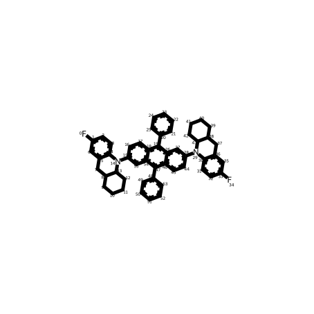 Fc1ccc2c(c1)CC1CCCCC1N2c1ccc2c(-c3ccccc3)c3cc(N4c5ccc(F)cc5CC5CCCCC54)ccc3c(-c3ccccc3)c2c1